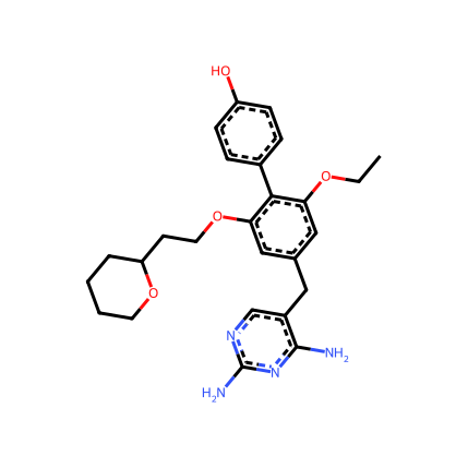 CCOc1cc(Cc2cnc(N)nc2N)cc(OCCC2CCCCO2)c1-c1ccc(O)cc1